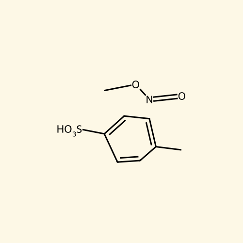 CON=O.Cc1ccc(S(=O)(=O)O)cc1